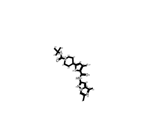 Cc1cn2nc(NC(=O)c3sc(C4CCN(C(=O)OC(C)(C)C)CC4)cc3F)cc2c(C)n1